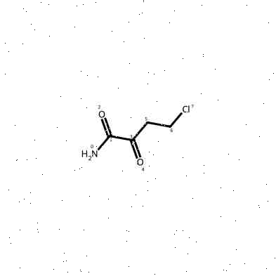 NC(=O)C(=O)CCCl